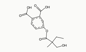 CCC(C)(CO)C(=O)Oc1ccc(C(=O)O)c(C(=O)O)c1